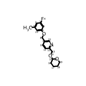 Cc1cc(F)cc(OCc2ccc(COC3CCCCO3)nc2)c1